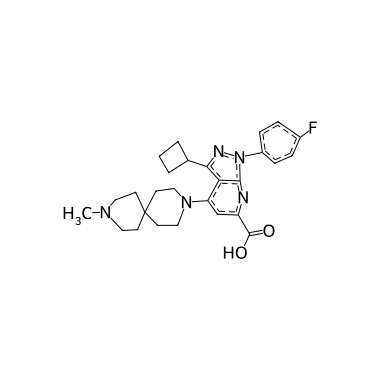 CN1CCC2(CC1)CCN(c1cc(C(=O)O)nc3c1c(C1CCC1)nn3-c1ccc(F)cc1)CC2